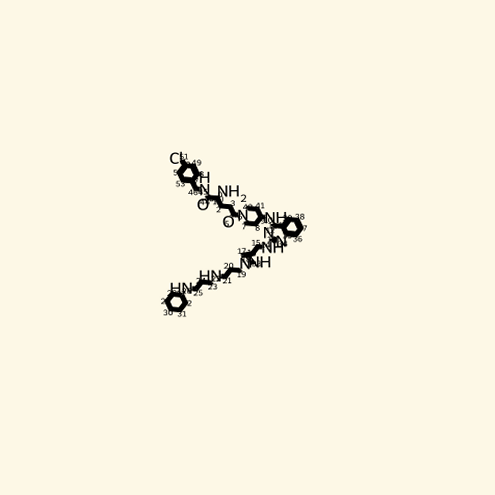 N[C@@H](CCC(=O)N1CCC(Nc2nc(NCc3cn(CCCNCCCNC4CCCCC4)[nH]3)nc3ccccc23)CC1)C(=O)NCc1ccc(Cl)cc1